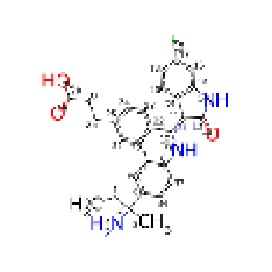 CCC(C)(N)c1ccc(N/C(=C2\C(=O)Nc3cc(F)ccc32)c2ccc(CCC(=O)O)cc2)cc1